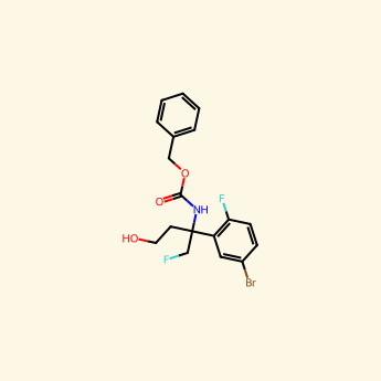 O=C(NC(CF)(CCO)c1cc(Br)ccc1F)OCc1ccccc1